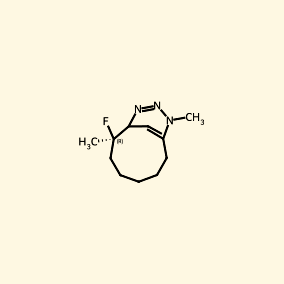 CN1N=NC2C=C1CCCCC[C@@]2(C)F